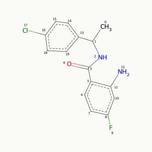 CC(NC(=O)c1ccc(F)cc1N)c1ccc(Cl)cc1